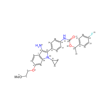 COCCOc1ccc2c(N)c(-c3ccc(NC(=O)OC(C)c4ccc(F)cc4)cc3)n(C3CC3)c2c1